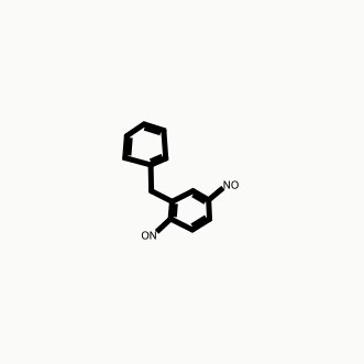 O=Nc1ccc(N=O)c(Cc2ccccc2)c1